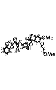 COCCCOc1cc(C(=O)N(C[C@@H]2CNC[C@H]2CN(C(=O)[C@@H]2COc3ccccc3O2)C2CC2)C(C)C)ccc1OC